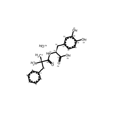 C[C@](N)(Cc1ccccc1)C(=O)N[C@@H](Cc1ccc(O)c(O)c1)C(=O)O.Cl